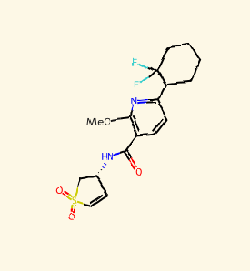 COc1nc(C2CCCCC2(F)F)ccc1C(=O)N[C@@H]1C=CS(=O)(=O)C1